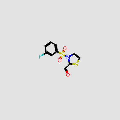 O=C[C@@H]1S[CH]CN1S(=O)(=O)c1cccc(F)c1